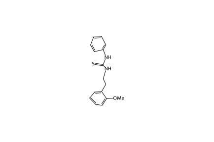 COc1ccccc1CCNC(=S)Nc1cc[c]cc1